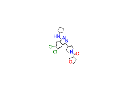 O=C(C1CCOC1)N1CC=C(c2nnc(NC3CCCC3)c3cc(Cl)c(Cl)cc23)CC1